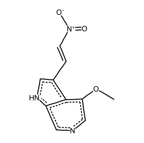 COc1cncc2[nH]cc(C=C[N+](=O)[O-])c12